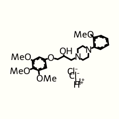 COc1ccccc1N1CCN(CC(O)COc2cc(OC)c(OC)c(OC)c2)CC1.[Cl-].[Cl-].[H+].[H+]